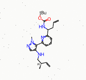 C=CCC(NC(=O)OC(C)(C)C)c1cccc(-c2c(NC[C@H](C)C=C)cnn2C)n1